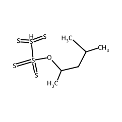 CC(C)CC(C)OS(=S)(=S)[SH](=S)=S